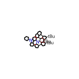 CC(C)(C)c1ccc(-c2ccccc2N(c2cccc3c2c2ccccc2n3-c2ccccc2)C2CC=CC=C2c2cccc3cccc(-c4cc(C(C)(C)C)cc(C(C)(C)C)c4)c23)cc1